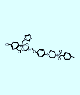 Cc1ccc(S(=O)(=O)N2CCN(c3ccc(OC[C@@H]4CO[C@@](Cn5ccnc5)(c5ccc(Cl)cc5Cl)O4)cc3)CC2)cc1